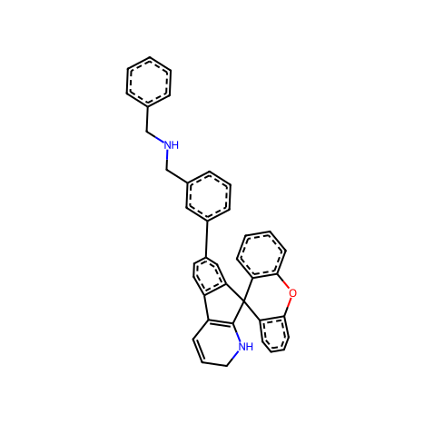 C1=CC2=C(NC1)C1(c3ccccc3Oc3ccccc31)c1cc(-c3cccc(CNCc4ccccc4)c3)ccc12